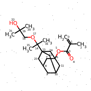 C=C(C)C(=O)OC12CC3CC(C1)CC(C(C)(C)OCC(C)(C)O)(C3)C2